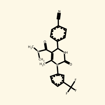 CC1=C(C(=O)N(C)C)C(c2ccc(C#N)cc2)NC(=O)N1c1cccc(C(F)(F)F)c1